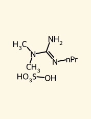 CCC/N=C(\N)N(C)C.O=S(=O)(O)O